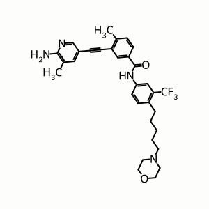 Cc1ccc(C(=O)Nc2ccc(CCCCCN3CCOCC3)c(C(F)(F)F)c2)cc1C#Cc1cnc(N)c(C)c1